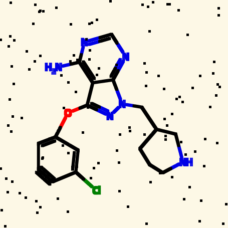 Nc1ncnc2c1c(Oc1cc#cc(Cl)c1)nn2CC1CCCNC1